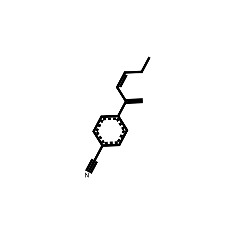 C=C(/C=C\CC)c1ccc(C#N)cc1